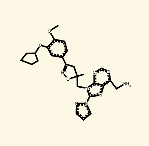 COc1ccc(C2=NOC(C)(Cn3c(-n4cccn4)nc4c(CN)ncnc43)C2)cc1OC1CCCC1